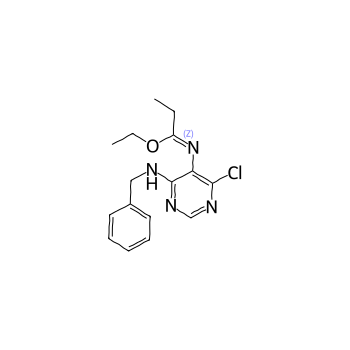 CCO/C(CC)=N\c1c(Cl)ncnc1NCc1ccccc1